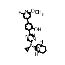 COc1cc(-c2ccc(-c3ncc(N(C4CC4)[C@@H]4C[C@H]5CCC[C@@H](C4)N5)nn3)c(O)c2)cc(F)n1